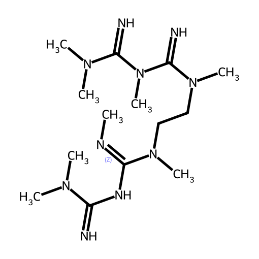 C/N=C(/NC(=N)N(C)C)N(C)CCN(C)C(=N)N(C)C(=N)N(C)C